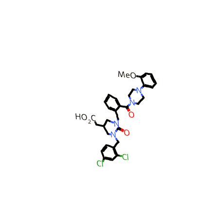 COc1ccccc1N1CCN(C(=O)c2ccccc2CN2CC(CC(=O)O)CN(Cc3ccc(Cl)cc3Cl)C2=O)CC1